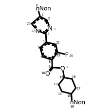 CCCCCCCCCc1cnc(-c2ccc(C(=O)OC3CCC(CCCCCCCCC)CC3)c(F)c2)nc1